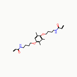 C=CC(=O)NCCCCOc1cc(C)c(OCCCCNC(=O)C=C)c(C)c1C